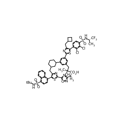 Cc1noc(-c2nc(CC3CCCC(c4cc(CC(C)(C)C(=O)O)cc(-c5nc(CC6CCC6)c(-c6ccc(S(=O)(=O)N[C@@H](C)C(F)(F)F)c(Cl)c6Cl)s5)c4)C3)c(-c3ccc(S(=O)(=O)NC(C)(C)C)c4ccccc34)s2)n1